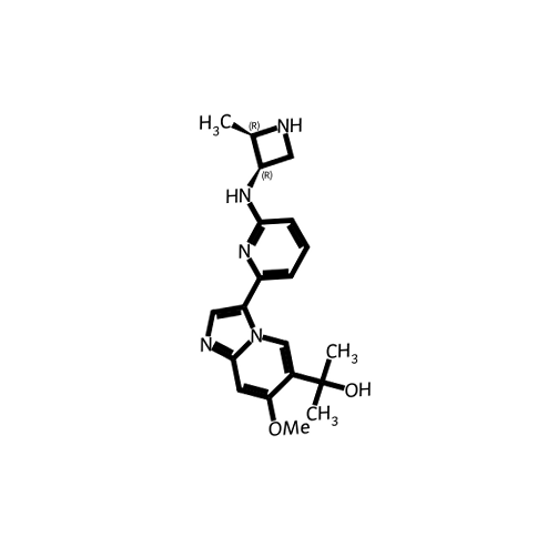 COc1cc2ncc(-c3cccc(N[C@@H]4CN[C@@H]4C)n3)n2cc1C(C)(C)O